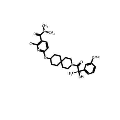 COc1cccc([C@](O)(C(=O)N2CCC3(CCC(Oc4ccc(C(=O)N(C)C)c(Cl)n4)CC3)CC2)C(F)(F)F)c1